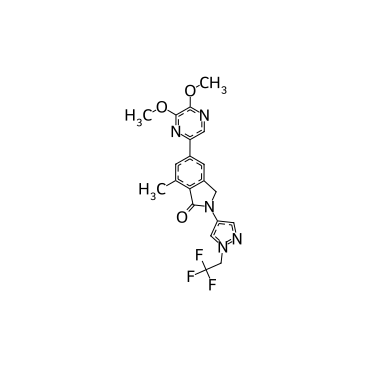 COc1ncc(-c2cc(C)c3c(c2)CN(c2cnn(CC(F)(F)F)c2)C3=O)nc1OC